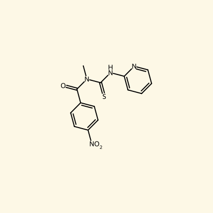 CN(C(=O)c1ccc([N+](=O)[O-])cc1)C(=S)Nc1ccccn1